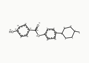 CC1CCC(c2ccc(OC(=O)c3ccc(O)cc3)cc2)CC1